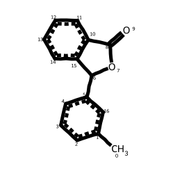 Cc1cccc(C2OC(=O)c3ccccc32)c1